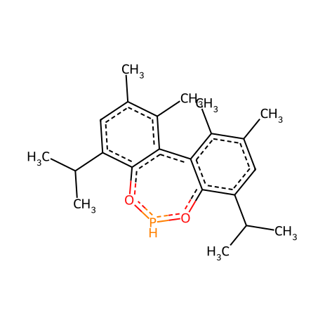 Cc1cc(C(C)C)c2o[pH]oc3c(C(C)C)cc(C)c(C)c3c2c1C